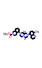 C[C@@H]1CN(c2ccc(C#N)c3ncccc23)C[C@H]2CN(c3cccc4c3CCN(C(=O)OC(C)(C)C)C4)CCN21